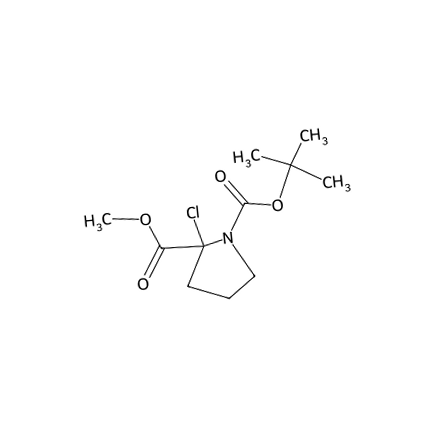 COC(=O)C1(Cl)CCCN1C(=O)OC(C)(C)C